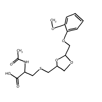 COc1ccccc1OCC1OCC(CSCC(NC(C)=O)C(=O)O)O1